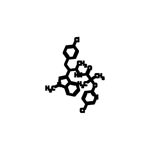 CC(NC(=O)C(C)(C)Oc1ccc(Cl)cn1)C(Cc1ccc(Cl)cc1)c1cn(C)c2ccccc12